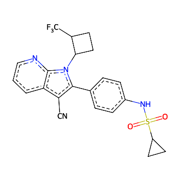 N#Cc1c(-c2ccc(NS(=O)(=O)C3CC3)cc2)n(C2CCC2C(F)(F)F)c2ncccc12